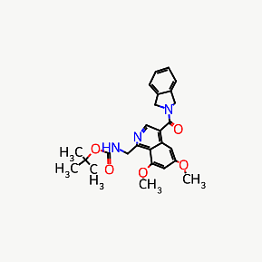 COc1cc(OC)c2c(CNC(=O)OC(C)(C)C)ncc(C(=O)N3Cc4ccccc4C3)c2c1